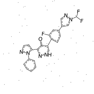 O=c1c(-c2ccc(-c3cnn(C(F)F)c3)cc2F)c[nH]nc1-c1ccnn1-c1ccccc1